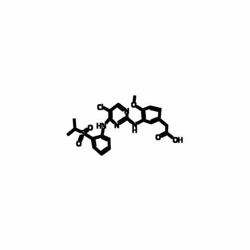 COc1ccc(CC(=O)O)cc1Nc1ncc(Cl)c(Nc2ccccc2S(=O)(=O)C(C)C)n1